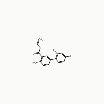 C=COC(=O)c1cc(-c2ccc(F)cc2F)ccc1O